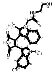 Cc1c(C2=C(c3cn(C)c4ccc(Cl)cc34)C(=O)NC2=O)c2ccccc2n1CC(=O)NCCO